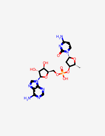 [CH2][C@H]1O[C@@H](n2ccc(N)nc2=O)C[C@@H]1OP(=O)(O)OC[C@H]1O[C@@H](n2cnc3c(N)ncnc32)[C@H](O)[C@H]1O